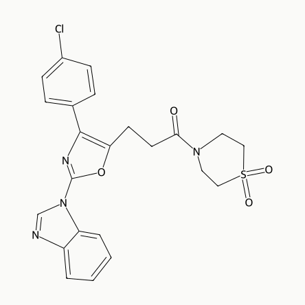 O=C(CCc1oc(-n2cnc3ccccc32)nc1-c1ccc(Cl)cc1)N1CCS(=O)(=O)CC1